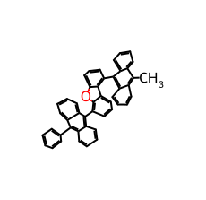 Cc1c2ccccc2c(-c2cccc3oc4c(-c5c6ccccc6c(-c6ccccc6)c6ccccc56)cccc4c23)c2ccccc12